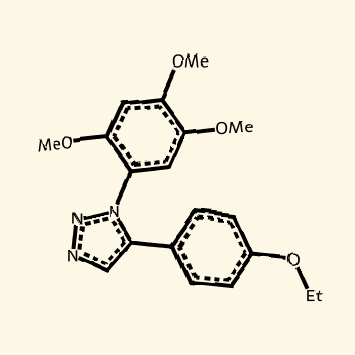 CCOc1ccc(-c2cnnn2-c2cc(OC)c(OC)cc2OC)cc1